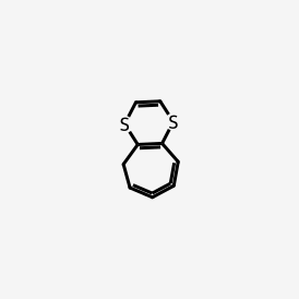 C1=C=CC2=C(CC=1)SC=CS2